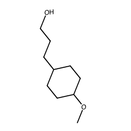 COC1CCC(CCCO)CC1